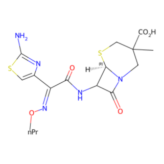 CCCON=C(C(=O)NC1C(=O)N2CC(C)(C(=O)O)CS[C@H]12)c1csc(N)n1